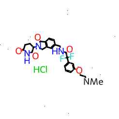 CNCCOc1cccc(C(F)(F)C(=O)NCc2ccc3c(c2)CN(C2CCC(=O)NC2=O)C3=O)c1.Cl